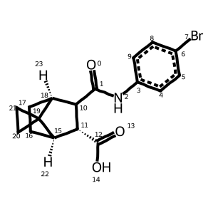 O=C(Nc1ccc(Br)cc1)C1[C@H](C(=O)O)[C@H]2CC[C@@H]1C21CC1